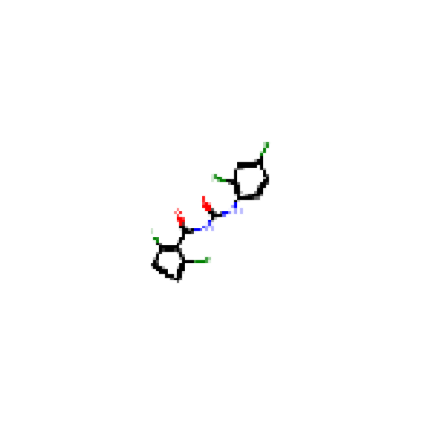 O=C(NC(=O)c1c(F)cccc1F)Nc1ccc(Br)cc1F